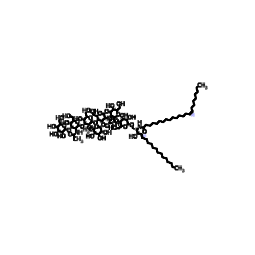 CCCCCCCC/C=C\CCCCCCCCCCCCCC(=O)N[C@@H](CO[C@@H]1OC(CO)[C@@H](O[C@@H]2OC(CO)[C@H](O)[C@H](O[C@@H]3OC(CO)[C@@H](O[C@@H]4OC(CO)[C@H](O)[C@H](O[C@@H]5OC(CO)[C@@H](O)[C@H](O[C@@H]6OC(CO)[C@H](O)[C@H](O)C6O)C5NC(C)=O)C4O)[C@H](O[C@H]4OC(C)[C@@H](O)C(O)[C@@H]4O)C3NC(C)=O)C2O)[C@H](O)C1O)[C@H](O)/C=C/CCCCCCCCCCCCC